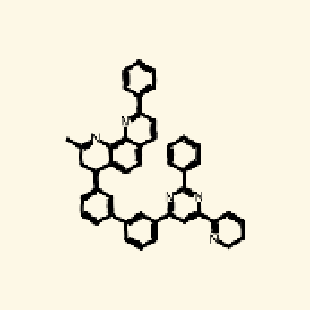 CC1=Nc2c(ccc3ccc(-c4ccccc4)nc23)C(c2cccc(-c3cccc(-c4cc(C5=NCCC=C5)nc(-c5ccccc5)n4)c3)c2)C1